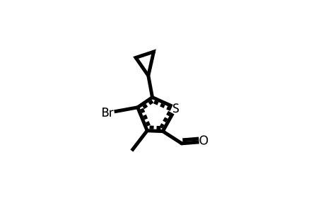 Cc1c(C=O)sc(C2CC2)c1Br